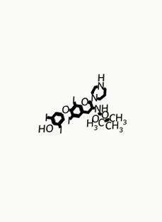 CC(C)(C)OC(=O)NC(Cc1cc(I)c(Oc2cc(I)c(O)c(I)c2)c(I)c1)C(=O)N1CCCNCC1